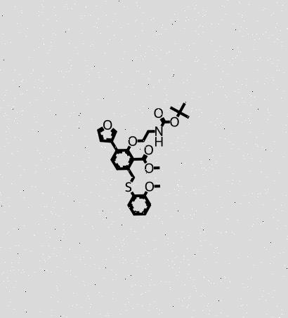 COC(=O)c1c(CSc2ccccc2OC)ccc(-c2ccoc2)c1OCCNC(=O)OC(C)(C)C